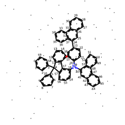 c1ccc(C2(c3ccccc3)c3ccccc3-c3c(N(c4ccc(-c5cc6ccccc6c6ccccc56)cc4)c4cc5ccccc5c5ccccc45)cccc32)cc1